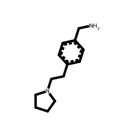 NCc1ccc(CCN2CCCC2)cc1